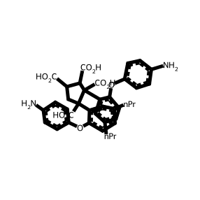 CCCc1ccc(Oc2ccc(N)cc2)c(C2(C(=O)O)CC(C(=O)O)C(C(=O)O)C2(C(=O)O)c2cc(CCC)ccc2Oc2ccc(N)cc2)c1